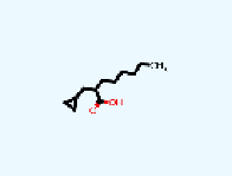 CCCCCCC(CC1CC1)C(=O)O